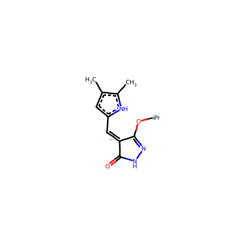 Cc1cc(/C=C2/C(=O)NN=C2OC(C)C)[nH]c1C